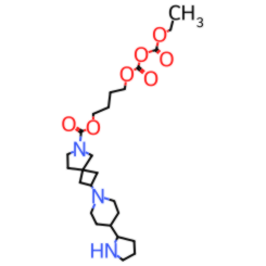 CCOC(=O)OC(=O)OCCCCOC(=O)N1CCC2(CC(N3CCC(C4CCCN4)CC3)C2)C1